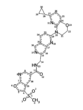 CS(=O)(=O)c1coc2ncc(C(=O)NCc3cc4nc(N5CCOc6ccc(C7CC7)nc65)ccc4cn3)cc12